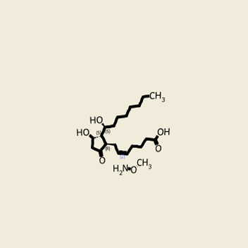 CCCCCCC[C@H](O)[C@H]1C(O)CC(=O)[C@@H]1C/C=C\CCCC(=O)O.CON